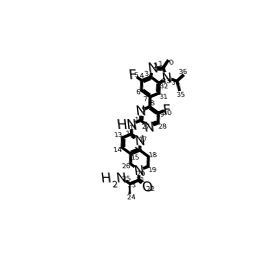 Cc1nc2c(F)cc(-c3nc(Nc4ccc5c(n4)CCN(C(=O)[C@@H](C)N)C5)ncc3F)cc2n1C(C)C